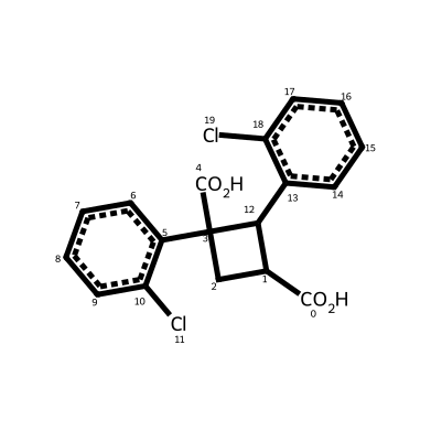 O=C(O)C1CC(C(=O)O)(c2ccccc2Cl)C1c1ccccc1Cl